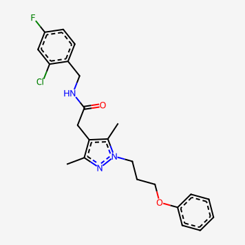 Cc1nn(CCCOc2ccccc2)c(C)c1CC(=O)NCc1ccc(F)cc1Cl